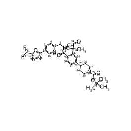 CN(Cc1ccc(-c2nnc(C(F)F)o2)cn1)C(=O)c1ccc(C2CCN(C(=O)OC(C)(C)C)CC2)cc1C(C)(C)C=O